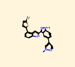 CC(=O)c1ccc(-c2cccc3[nH]c(-c4n[nH]c5ccc(-c6cnn(C)c6)cc45)cc23)s1